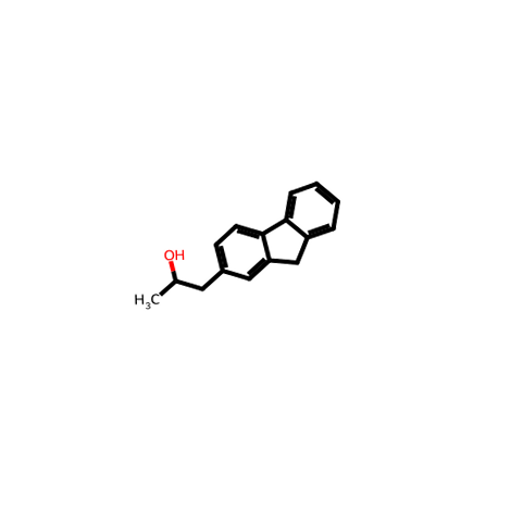 CC(O)Cc1ccc2c(c1)Cc1ccccc1-2